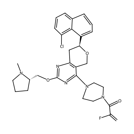 C=C(F)C(=O)N1CCN(c2nc(OC[C@@H]3CCCN3C)nc3c2CO[C@H](c2cccc4cccc(Cl)c24)C3)CC1